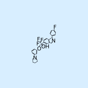 OC(COc1cccc(N2CCCCC2)c1)(c1ccc2c(c1)C=NC2c1ccc(F)cc1)C(F)(F)F